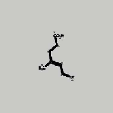 CC(=CCBr)CCC(=O)O